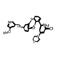 COc1cncc(CNc2ccc3c(c2)Sc2cccc(-c4cc(N5CCOCC5)cc(=O)[nH]4)c2S3)c1